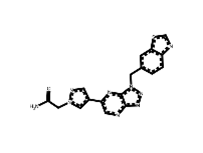 NC(=O)Cn1cc(-c2cnc3nnn(Cc4ccc5ncsc5c4)c3n2)cn1